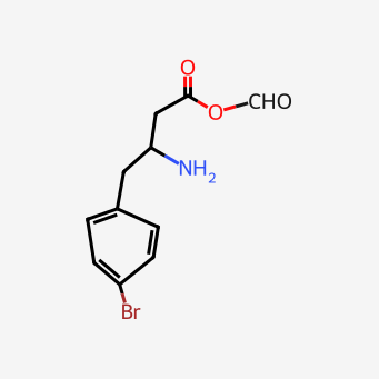 NC(CC(=O)OC=O)Cc1ccc(Br)cc1